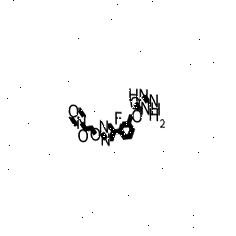 N=C(N)NC(=O)OCc1cccc(-c2cnc(OCC(=O)N3CCOCC3)nc2)c1F